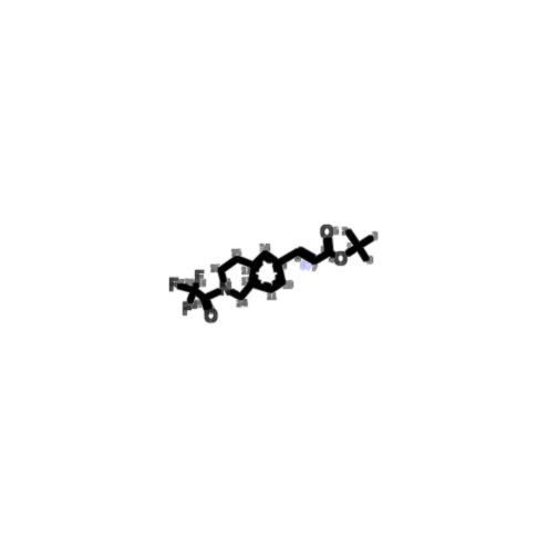 CC(C)(C)OC(=O)/C=C/c1ccc2c(c1)CCN(C(=O)C(F)(F)F)C2